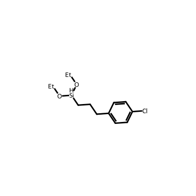 CCO[SiH](CCCc1ccc(Cl)cc1)OCC